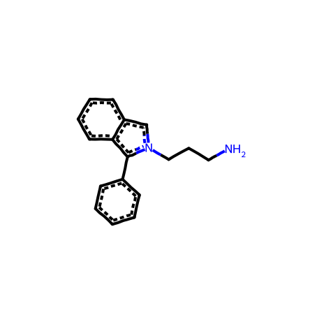 NCCCn1cc2ccccc2c1-c1ccccc1